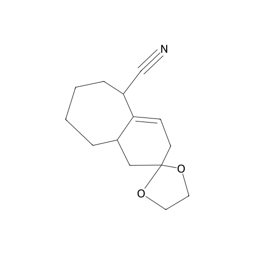 N#CC1CCCCC2CC3(CC=C12)OCCO3